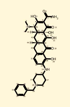 CN(C)[C@H]1C(O)=C(C(N)=O)C(=O)[C@@]2(O)C(O)=C3C(=O)c4c(ccc(NC5CCN(Cc6ccccc6)CC5)c4O)C[C@@H]3C[C@H]12